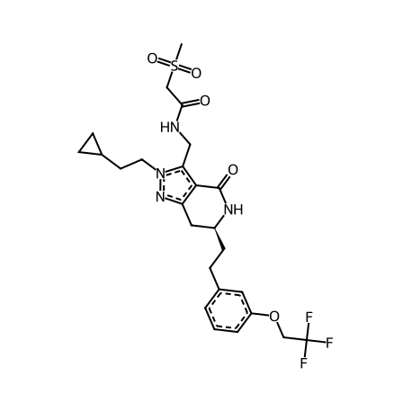 CS(=O)(=O)CC(=O)NCc1c2c(nn1CCC1CC1)C[C@H](CCc1cccc(OCC(F)(F)F)c1)NC2=O